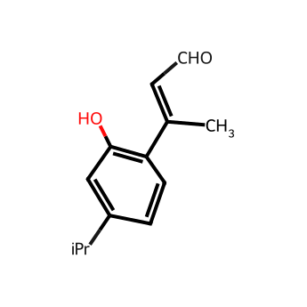 CC(=CC=O)c1ccc(C(C)C)cc1O